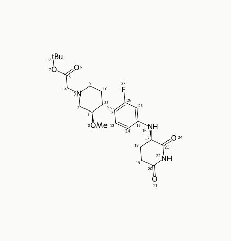 CO[C@H]1CN(CC(=O)OC(C)(C)C)CC[C@@H]1c1ccc(N[C@@H]2CCC(=O)NC2=O)cc1F